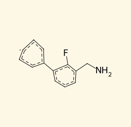 NCc1cccc(-c2cc[c]cc2)c1F